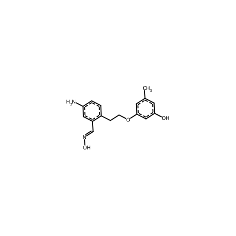 Cc1cc(O)cc(OCCc2ccc(N)cc2C=NO)c1